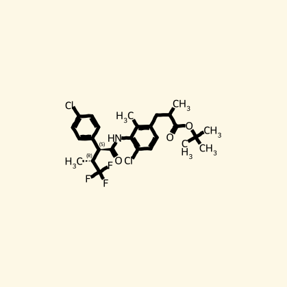 Cc1c(CC(C)C(=O)OC(C)(C)C)ccc(Cl)c1NC(=O)[C@H](c1ccc(Cl)cc1)[C@@H](C)C(F)(F)F